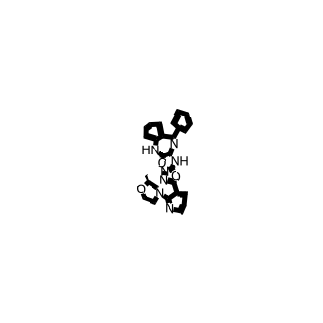 C[C@H]1CN(c2ncccc2-c2nnc(N[C@H]3N=C(c4ccccc4)c4ccccc4NC3=O)o2)CCO1